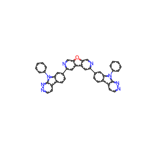 c1ccc(-n2c3cc(-c4cc5c(cn4)oc4cnc(-c6ccc7c8ccnnc8n(-c8ccccc8)c7c6)cc45)ccc3c3ccnnc32)cc1